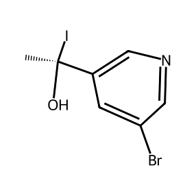 C[C@](O)(I)c1cncc(Br)c1